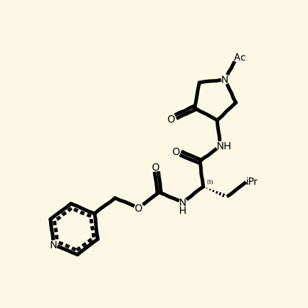 CC(=O)N1CC(=O)C(NC(=O)[C@H](CC(C)C)NC(=O)OCc2ccncc2)C1